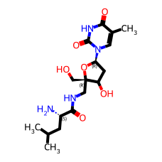 Cc1cn([C@H]2CC(O)[C@](CO)(CNC(=O)[C@@H](N)CC(C)C)O2)c(=O)[nH]c1=O